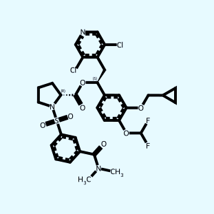 CN(C)C(=O)c1cccc(S(=O)(=O)N2CCC[C@@H]2C(=O)O[C@@H](Cc2c(Cl)cncc2Cl)c2ccc(OC(F)F)c(OCC3CC3)c2)c1